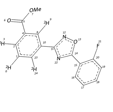 [2H]c1c([2H])c(C(=O)OC)c([2H])c(-c2noc(-c3ccccc3F)n2)c1[2H]